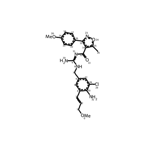 COC/C=C/c1cc(CN/C(N)=N\C(=O)c2c(-c3ccc(OC)cc3)noc2C)cc(Cl)c1N